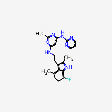 CC1=c2c(CCNc3cc(Nc4ncccn4)nc(C)n3)c(C)[nH]c2=C(F)CC1